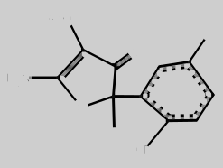 CC(=O)OC1=C(N)OC(C)(c2cc(Cl)ccc2Cl)C1=O